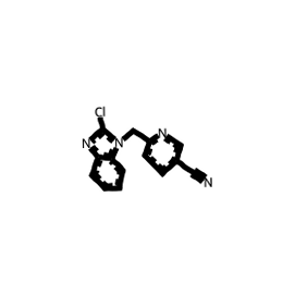 N#Cc1ccc(Cn2c(Cl)nc3ccccc32)nc1